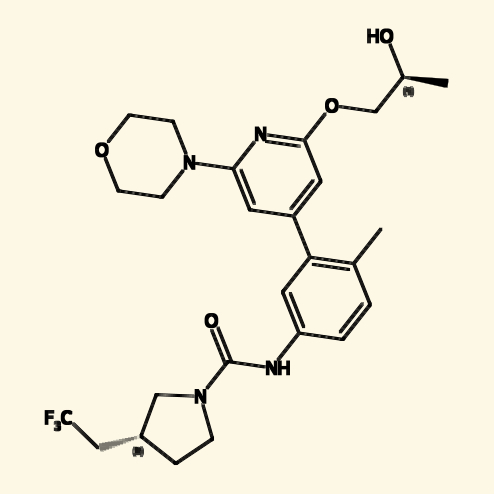 Cc1ccc(NC(=O)N2CC[C@H](CC(F)(F)F)C2)cc1-c1cc(OC[C@H](C)O)nc(N2CCOCC2)c1